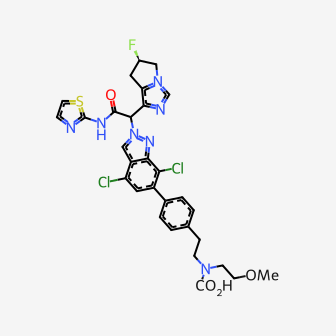 COCCN(CCc1ccc(-c2cc(Cl)c3cn(C(C(=O)Nc4nccs4)c4ncn5c4C[C@@H](F)C5)nc3c2Cl)cc1)C(=O)O